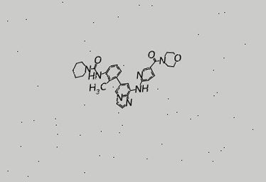 Cc1c(NC(=O)N2CCCCC2)cccc1-c1cc(Nc2ccc(C(=O)N3CCOCC3)cn2)c2nccn2c1